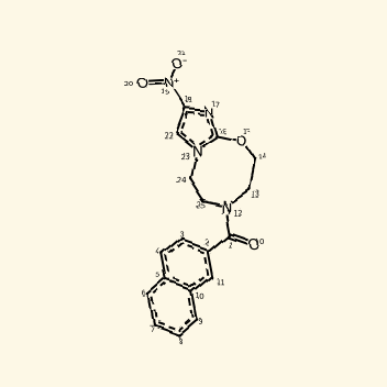 O=C(c1ccc2ccccc2c1)N1CCOc2nc([N+](=O)[O-])cn2CC1